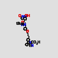 CC(C)(C)[Si](C)(C)O[C@@H](CNCc1cccc(OCCCCc2ccc(-c3ccccc3)c(N(C(=O)O)[C@H]3CN4CCC3CC4)c2)c1)c1ccc(O)c2[nH]c(=O)ccc12